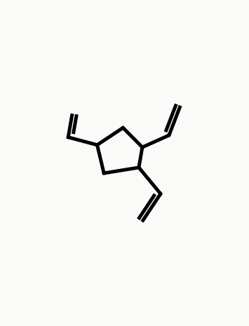 C=CC1CC(C=C)C(C=C)C1